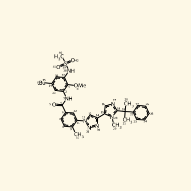 COc1c(NC(=O)c2ccc(C)c(-n3cc(-c4cnc(C(C)(C)c5ccccc5)n4C)nn3)c2)cc(C(C)(C)C)cc1NS(C)(=O)=O